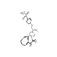 C[C@@H](COc1ccc(S(C)(=O)=O)cc1)N1CCC2(CC1)C(=O)Nc1ccccc12